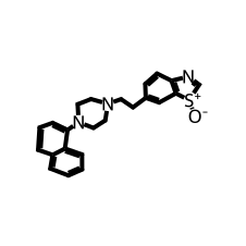 [O-][s+]1cnc2ccc(CCN3CCN(c4cccc5ccccc45)CC3)cc21